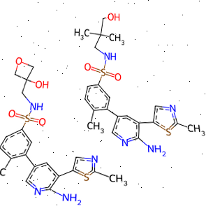 Cc1ncc(-c2cc(-c3cc(S(=O)(=O)NCC(C)(C)CO)ccc3C)cnc2N)s1.Cc1ncc(-c2cc(-c3cc(S(=O)(=O)NCC4(O)COC4)ccc3C)cnc2N)s1